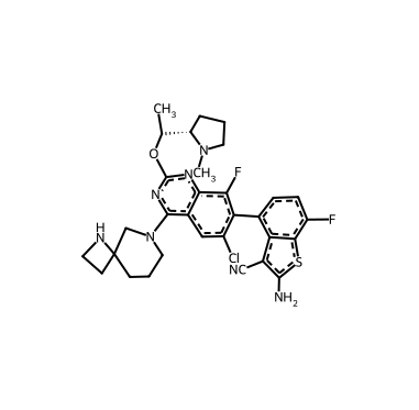 CC(Oc1nc(N2CCCC3(CCN3)C2)c2cc(Cl)c(-c3ccc(F)c4sc(N)c(C#N)c34)c(F)c2n1)[C@@H]1CCCN1C